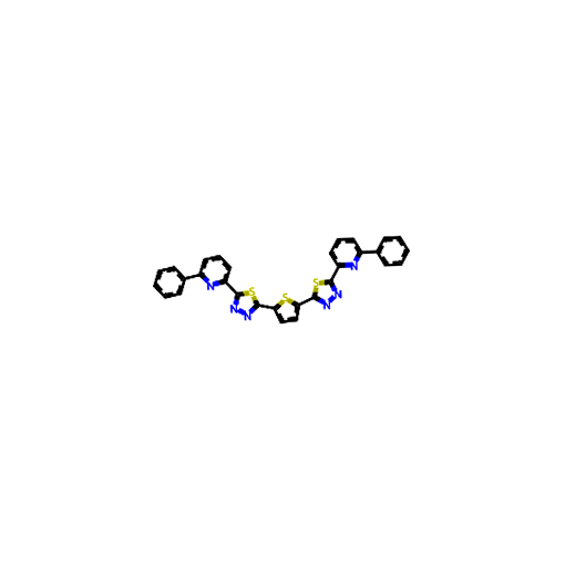 c1ccc(-c2cccc(-c3nnc(-c4ccc(-c5nnc(-c6cccc(-c7ccccc7)n6)s5)s4)s3)n2)cc1